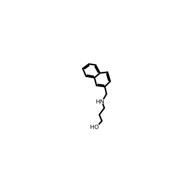 OCCCNCc1ccc2ccccc2c1